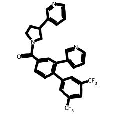 O=C(c1ccc(-c2cc(C(F)(F)F)cc(C(F)(F)F)c2)c(-c2cccnc2)c1)N1CCC(c2cccnc2)C1